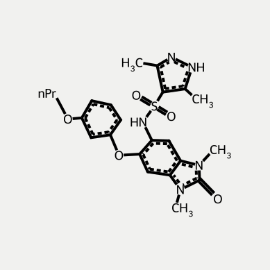 CCCOc1cccc(Oc2cc3c(cc2NS(=O)(=O)c2c(C)n[nH]c2C)n(C)c(=O)n3C)c1